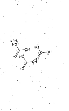 O=S(O)O.O=S(O)O.O=S(O)O.P